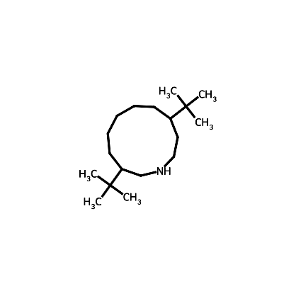 CC(C)(C)C1CCCCCC(C(C)(C)C)CNCC1